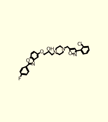 O[C@H](COc1ccc2oc(-c3ccc(F)cc3)nc2c1)CN1CCN(Cc2cc(-c3ccccc3Cl)no2)CC1